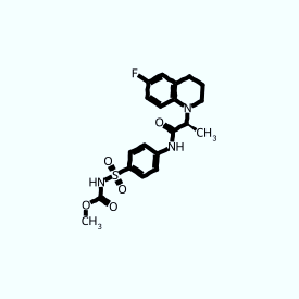 COC(=O)NS(=O)(=O)c1ccc(NC(=O)[C@H](C)N2CCCc3cc(F)ccc32)cc1